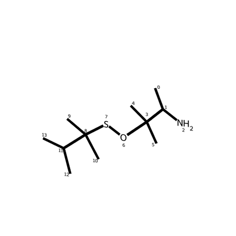 CC(N)C(C)(C)OSC(C)(C)C(C)C